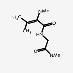 CNC(=O)CNC(=O)C(NC)=C(C)C